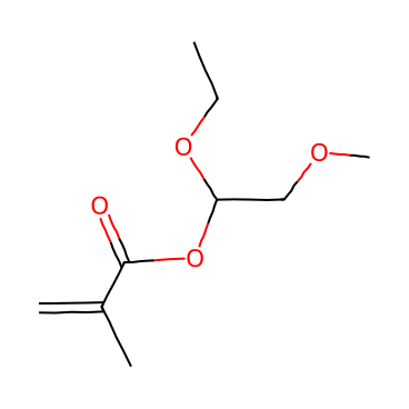 C=C(C)C(=O)OC(COC)OCC